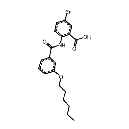 CCCCCCOc1cccc(C(=O)Nc2ccc(Br)cc2C(=O)O)c1